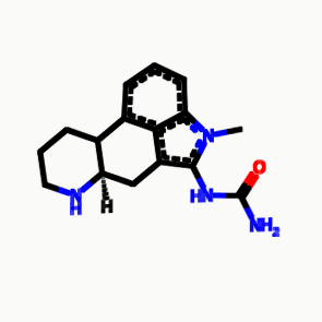 Cn1c(NC(N)=O)c2c3c(cccc31)C1CCCN[C@@H]1C2